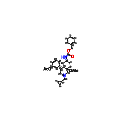 CO[C@]12CC[C@H](NC(=O)OCc3ccccc3)C[C@]1(c1cccc(OC(C)=O)c1)CCN(CC1CC1)C2